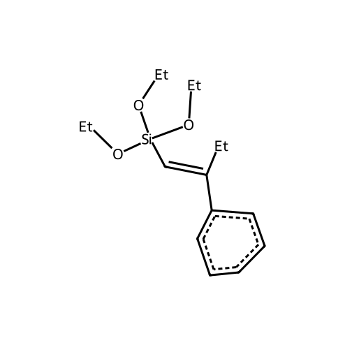 CCO[Si](C=C(CC)c1ccccc1)(OCC)OCC